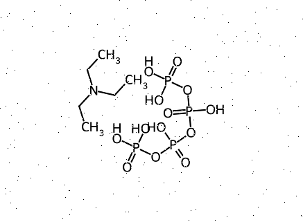 CCN(CC)CC.O=P(O)(O)OP(=O)(O)OP(=O)(O)OP(=O)(O)O